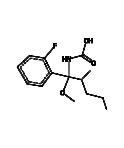 CCCC(C)C(NC(=O)O)(OC)c1ccccc1F